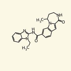 CCn1c(NC(=O)c2ccc3cc4n(c3c2)C(C)CCNC4=O)nc2ccccc21